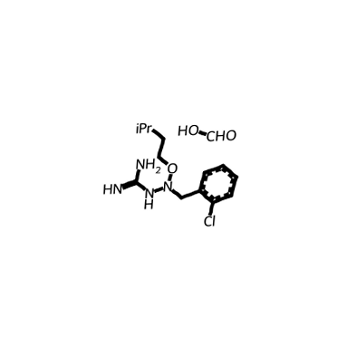 CC(C)CCON(Cc1ccccc1Cl)NC(=N)N.O=CO